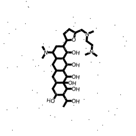 CC(O)C1C(O)CC2CC3CC4C(C(O)C(C5CCC(CN(C)CCN(C)C)O5)CC4N(C)C)C(O)C3C(O)C2(O)C1O